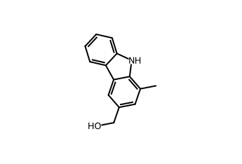 Cc1cc(CO)cc2c1[nH]c1ccccc12